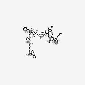 CCCCCC[C@@]1(O)C(=O)OCc2c1cc1n(c2=O)Cc2c-1nc1cc(F)c(C)c3c1c2[C@@H](NC(=O)C[C@@H](C)OCNC(=O)CNC(=O)[C@H](Cc1ccccc1)NC(=O)CNC(=O)CNC(=O)CCCCCN1C(=O)CC(C(C)(CC)CC)C1=O)CC3